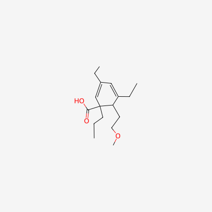 CCCC1(C(=O)O)C=C(CC)C=C(CC)C1CCOC